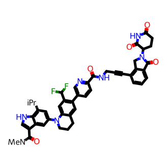 CNC(=O)c1c[nH]c2c(C(C)C)cc(N3CCCc4cc(-c5ccc(C(=O)NCC#Cc6cccc7c6CN(C6CCC(=O)NC6=O)C7=O)nc5)c(C(F)F)cc43)cc12